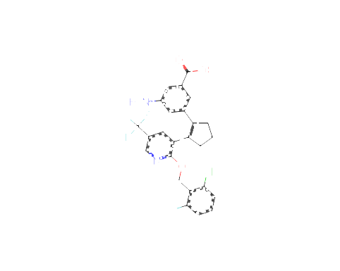 Nc1cc(C(=O)O)cc(C2=C(c3cc(C(F)(F)F)cnc3OCc3c(F)cccc3Cl)CCC2)c1